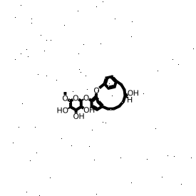 COC1O[C@@H](Oc2ccc3cc2Oc2ccc(cc2)CC[C@H](O)CCCC3)C(O)C(O)[C@H]1O